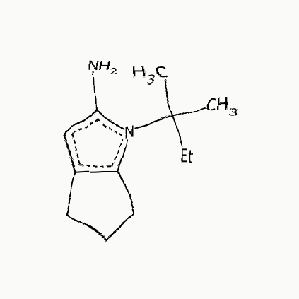 CCC(C)(C)n1c(N)cc2c1CCC2